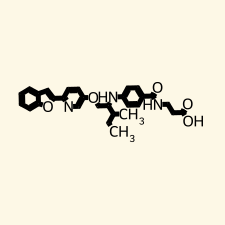 CCC(C)C(COc1ccc(-c2cc3ccccc3o2)nc1)Nc1ccc(C(=O)NCCC(=O)O)cc1